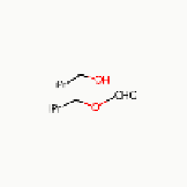 CC(C)CO.CC(C)COC=O